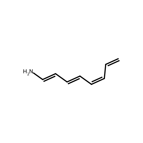 C=C\C=C/C=C/C=C/N